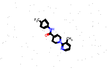 Cc1cccnc1N1CC=C(C(=O)Nc2ccc(C(F)(F)F)cc2)CC1